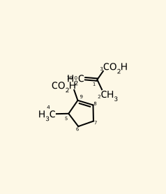 C=C(C)C(=O)O.CC1CCC=C1C(=O)O